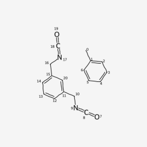 Cc1ccccc1.O=C=NCc1cccc(CN=C=O)c1